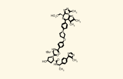 Cc1ncsc1-c1ccc([C@H](C)NC(=O)[C@@H]2C[C@@H](O)CN2C(=O)[C@@H](NC(=O)c2ccc(O[C@H]3CCN(c4ccc(C5=N[C@@H](CC(=O)O)c6nnc(C)n6-c6sc(C)c(C)c65)cc4)C3)cc2)C(C)(C)C)cc1